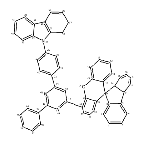 C1=CC2c3ccccc3C3(c4ccccc4Oc4c(-c5cc(-c6ccc(-n7c8c(c9ccccc97)C=CCC8)cc6)nc(-c6ccccc6)n5)cccc43)C2C=C1